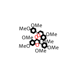 COc1cc(OC)c2c(c1)O[C@H](c1ccc(OC)c(OC)c1)[C@H](c1c(OC)cc(OC)c3c1O[C@H](c1ccc(OC)c(OC)c1)C=C3)C2=O